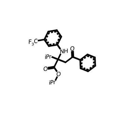 CC(C)OC(=O)C(CC(=O)c1ccccc1)(Nc1cccc(C(F)(F)F)c1)C(C)C